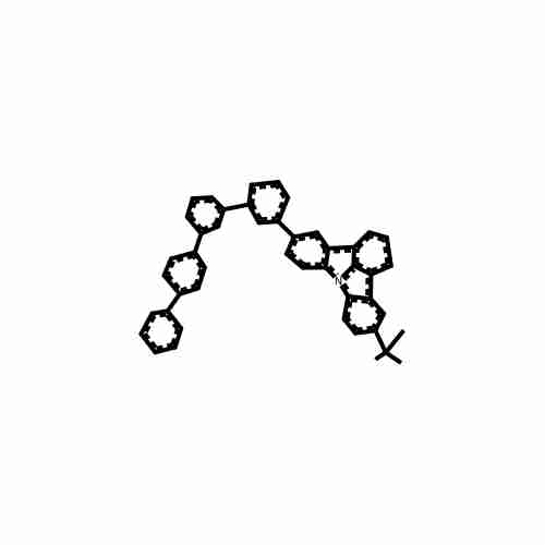 CC(C)(C)c1ccc2c(c1)c1cccc3c4cc(-c5cccc(-c6cccc(-c7ccc(-c8ccccc8)cc7)c6)c5)ccc4n2c31